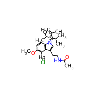 COc1ccc2c(c(CCNC(C)=O)cn2[Si](C(C)C)(C(C)C)C(C)C)[c]1[Hg][Cl]